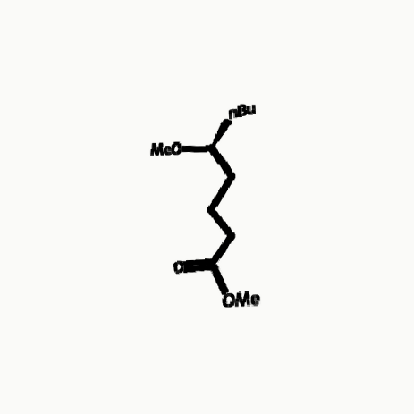 CCCC[C@@H](CCCC(=O)OC)OC